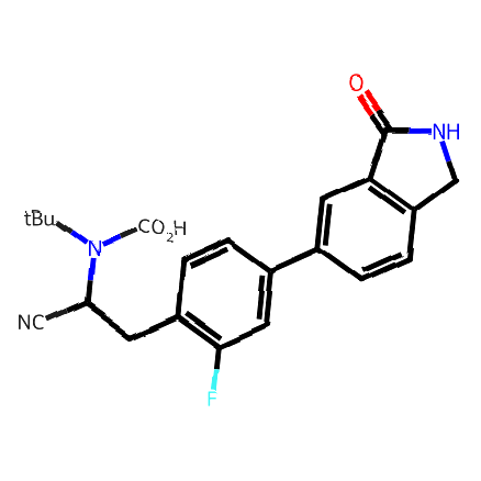 CC(C)(C)N(C(=O)O)C(C#N)Cc1ccc(-c2ccc3c(c2)C(=O)NC3)cc1F